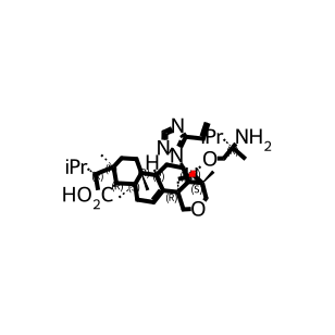 C=Cc1ncnn1[C@@H]1C[C@@]23COC[C@](C)([C@@H]2CC[C@H]2C3=CC[C@@]3(C)[C@H](C(=O)O)[C@@](C)([C@H](C)C(C)C)CC[C@]23C)[C@H]1OC[C@](C)(N)C(C)C